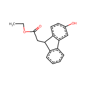 CCOC(=O)CC1c2ccccc2-c2cc(O)ccc21